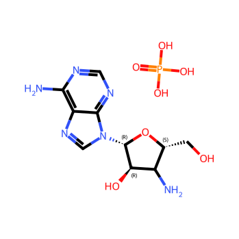 Nc1ncnc2c1ncn2[C@@H]1O[C@H](CO)C(N)[C@H]1O.O=P(O)(O)O